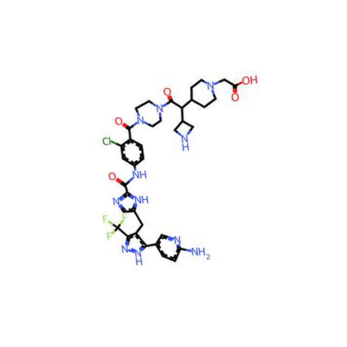 Nc1ccc(-c2[nH]nc(C(F)(F)F)c2Cc2cnc(C(=O)Nc3ccc(C(=O)N4CCN(C(=O)C(C5CCN(CC(=O)O)CC5)C5CNC5)CC4)c(Cl)c3)[nH]2)cn1